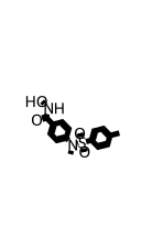 Cc1ccc(S(=O)(=O)N(C)c2ccc(C(=O)NO)cc2)cc1